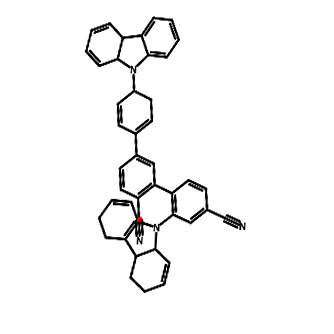 N#Cc1ccc(-c2cc(C3=CCC(N4c5ccccc5C5C=CC=CC54)C=C3)ccc2C#N)c(N2C3=C(CCC=C3)C3CCC=CC32)c1